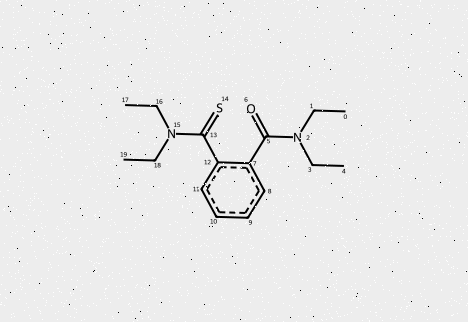 CCN(CC)C(=O)c1ccccc1C(=S)N(CC)CC